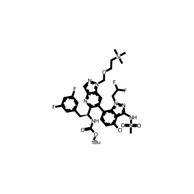 CC(C)(C)OC(=O)N[C@@H](Cc1cc(F)cc(F)c1)c1nc2cnn(COCC[Si](C)(C)C)c2cc1-c1ccc(Cl)c2c(NS(C)(=O)=O)nn(CC(F)F)c12